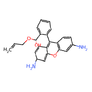 C=CCO[C@@H](O)c1ccccc1C1=C2C=CC(N)C=C2Oc2cc(N)ccc21